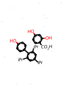 CC(C)c1cc(C(C)C)c(-c2ccc(O)cc2)c(C(C)C)c1.O=C(O)c1ccc(O)cc1O